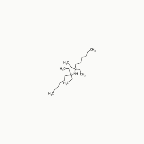 CCCCCC[Si](CC)(CC)N[Si](CC)(CC)CCCCCC